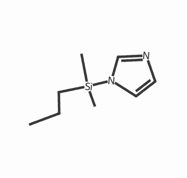 CCC[Si](C)(C)n1ccnc1